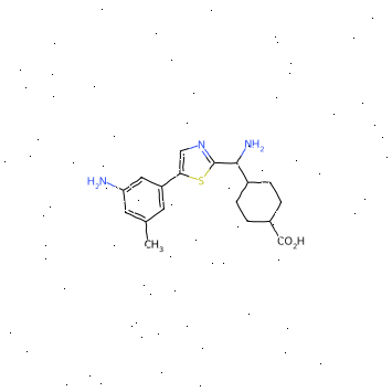 Cc1cc(N)cc(-c2cnc(C(N)C3CCC(C(=O)O)CC3)s2)c1